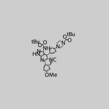 [C-]#[N+]c1c(-c2ccc(OC)cc2F)nc2[nH]nc(NC(=O)OC(C)(C)C)c2c1-c1ccc(N2CCN(C(=O)OC(C)(C)C)CC2)cc1